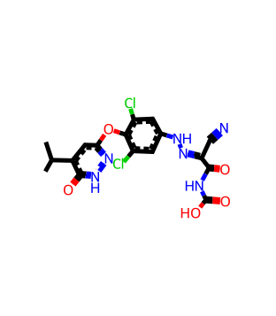 CC(C)c1cc(Oc2c(Cl)cc(N/N=C(\C#N)C(=O)NC(=O)O)cc2Cl)n[nH]c1=O